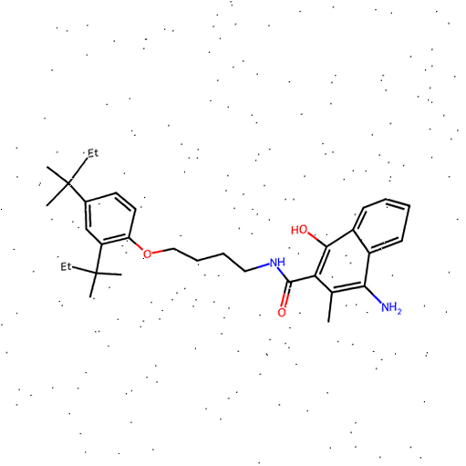 CCC(C)(C)c1ccc(OCCCCNC(=O)c2c(C)c(N)c3ccccc3c2O)c(C(C)(C)CC)c1